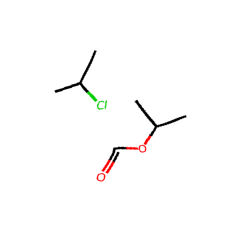 CC(C)Cl.CC(C)OC=O